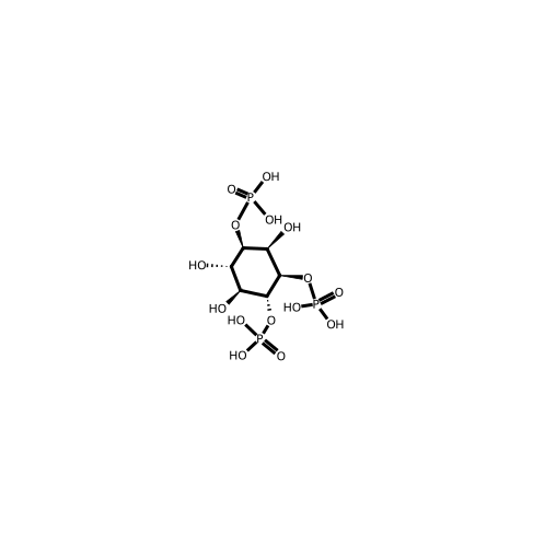 O=P(O)(O)O[C@H]1[C@@H](O)[C@@H](OP(=O)(O)O)[C@H](OP(=O)(O)O)[C@@H](O)[C@@H]1O